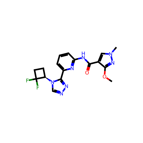 COc1nn(C)cc1C(=O)Nc1cccc(-c2nncn2[C@@H]2CCC2(F)F)n1